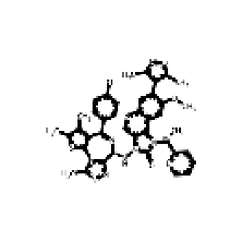 COc1cc2c(cc1-c1c(C)noc1C)ncc1c2n([C@H](C)c2ccccn2)c(=O)n1B[C@@H]1N=C(c2ccc(Cl)cc2)c2c(sc(C)c2C)-n2c(C)nnc21